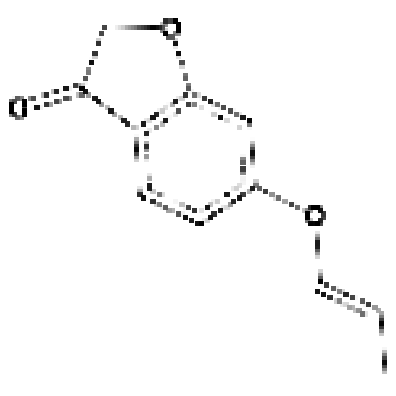 CC=COc1ccc2c(c1)OCC2=O